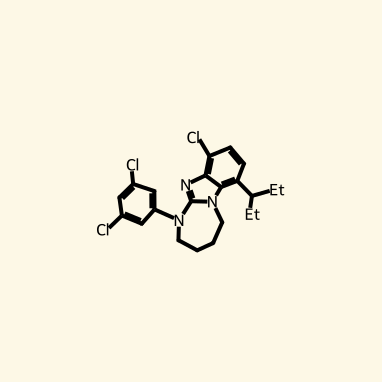 CCC(CC)c1ccc(Cl)c2nc3n(c12)CCCCN3c1cc(Cl)cc(Cl)c1